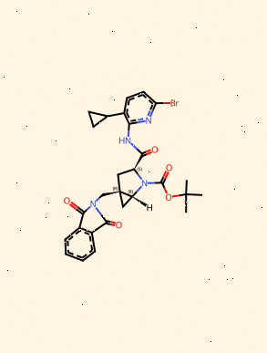 CC(C)(C)OC(=O)N1[C@H](C(=O)Nc2nc(Br)ccc2C2CC2)C[C@@]2(CN3C(=O)c4ccccc4C3=O)C[C@@H]12